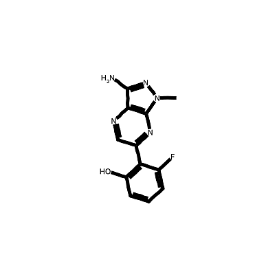 Cn1nc(N)c2ncc(-c3c(O)cccc3F)nc21